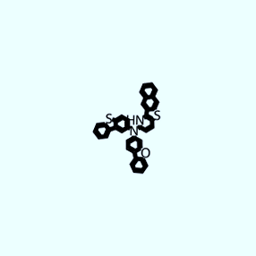 C1=CC(N(c2ccc3c(c2)oc2ccccc23)c2ccc3sc4ccccc4c3c2)Nc2c1sc1cc3ccccc3cc21